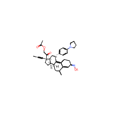 CC#C[C@]1(C(=O)COC(C)=O)CC[C@H]2[C@@H]3CC(C)C4=CC(=NO)CCC4=C3[C@@H](c3ccc(N4CCCC4)cc3)C[C@@]21C